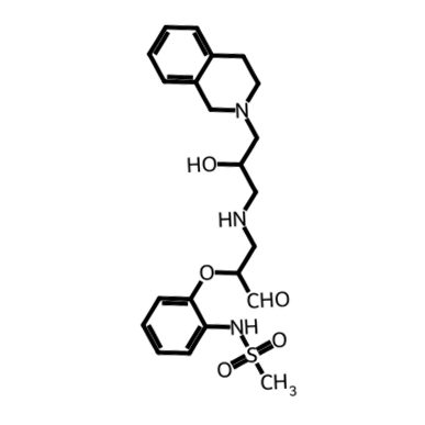 CS(=O)(=O)Nc1ccccc1OC(C=O)CNCC(O)CN1CCc2ccccc2C1